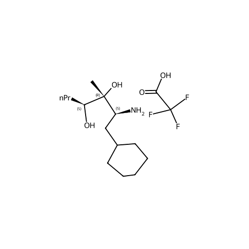 CCC[C@H](O)[C@](C)(O)[C@@H](N)CC1CCCCC1.O=C(O)C(F)(F)F